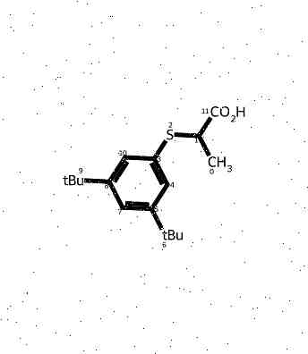 CC(Sc1cc(C(C)(C)C)cc(C(C)(C)C)c1)C(=O)O